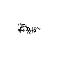 COc1cccc(SNC(=O)c2ccc(N/C=C\C(=N)OCC3(C(F)(F)F)CC3)nc2Cl)c1